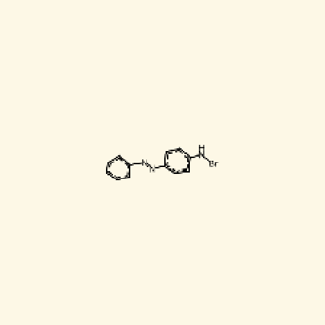 BrNc1ccc(/N=N/c2ccccc2)cc1